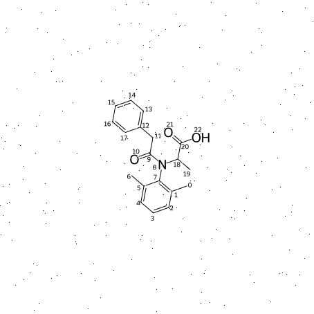 Cc1cccc(C)c1N(C(=O)Cc1ccccc1)C(C)C(=O)O